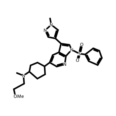 COCCN(C)C1CCC(c2cnc3c(c2)c(-c2cnn(C)c2)cn3S(=O)(=O)c2ccccc2)CC1